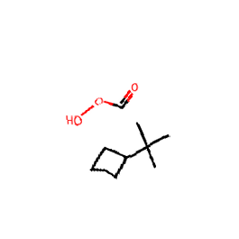 CC(C)(C)C1CCC1.O=COO